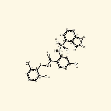 O=C(NCc1c(Cl)cccc1Cl)c1ccc(Br)cc1NS(=O)(=O)c1cccc2nsnc12